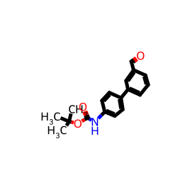 CC(C)(C)OC(=O)Nc1ccc(-c2cccc(C=O)c2)cc1